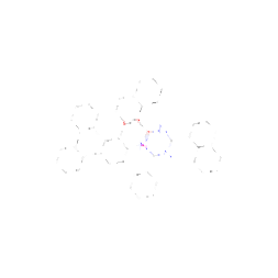 c1ccc(-c2cc3c4ccccc4c4ccccc4c3c3ccccc23)c(-c2nc(-c3cccc4ccccc34)nc(-c3cccc4ccccc34)n2)c1